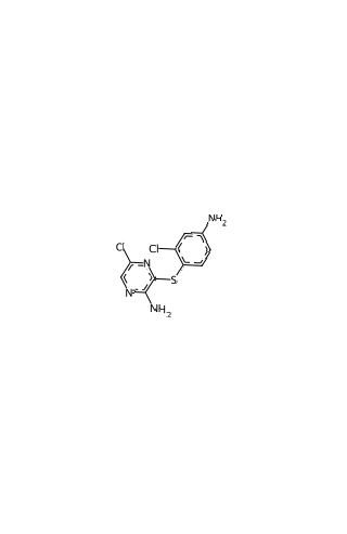 Nc1ccc(Sc2nc(Cl)cnc2N)c(Cl)c1